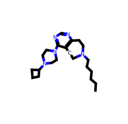 CCCCCCN1CCc2ncnc(N3CCN(C4CCC4)CC3)c2CC1